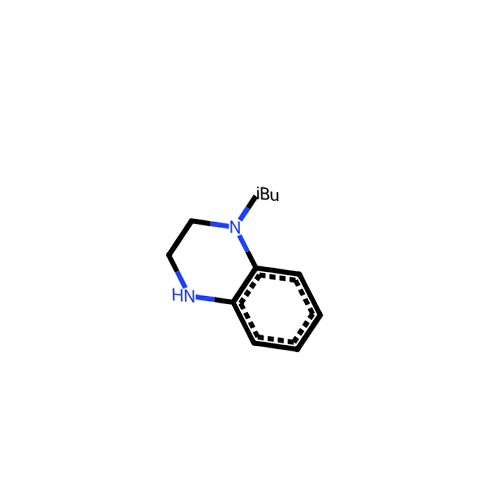 CCC(C)N1CCNc2ccccc21